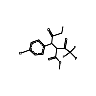 CCC(=O)C(c1ccc(Cl)cc1)C(C(=O)OC)C(=O)C(F)(F)F